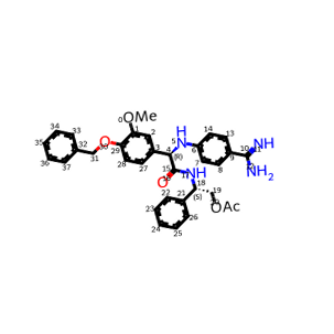 COc1cc([C@@H](Nc2ccc(C(=N)N)cc2)C(=O)N[C@H](COC(C)=O)c2ccccc2)ccc1OCc1ccccc1